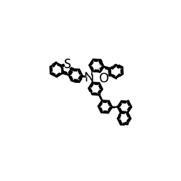 c1cc(-c2ccc(N(c3ccc4c(c3)sc3ccccc34)c3cccc4c3oc3ccccc34)cc2)cc(-c2cccc3ccccc23)c1